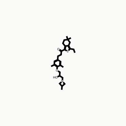 CCc1sc(C(=O)CCc2cc(C)c(OCC(O)CN3CC(C)C3)c(C)c2)c2c1CC(C)(C)CC2